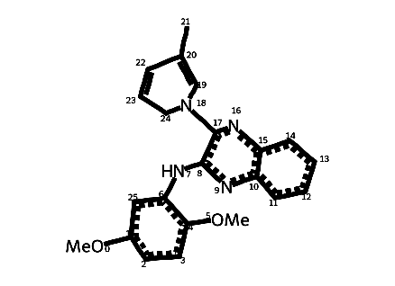 COc1ccc(OC)c(Nc2nc3ccccc3nc2N2C=C(C)C=CC2)c1